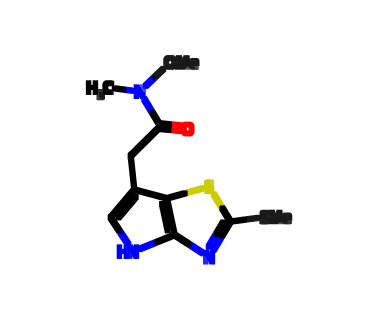 CON(C)C(=O)Cc1c[nH]c2nc(SC)sc12